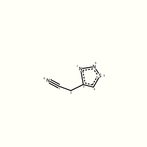 N#CCc1csnn1